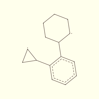 [CH]1CC1c1ccccc1C1[CH]CCCC1